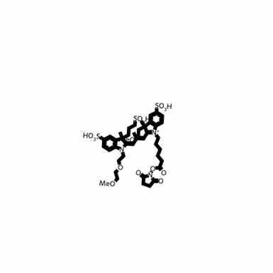 COCCOCCN1/C(=C/C(C)=C/C2=[N+](CCCCCC(=O)ON3C(=O)CCC3=O)c3ccc(S(=O)(=O)O)cc3C2(C)CCOC)C(C)(CCCS(=O)(=O)O)c2cc(S(=O)(=O)O)ccc21